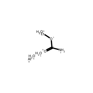 CCOC(N)=O.O.O.O.[Al]